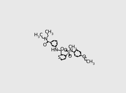 CCOc1ccc(N(C)S(=O)(=O)c2ccsc2C(=O)Nc2cccc(C(=O)N(CC)CC)c2)cc1